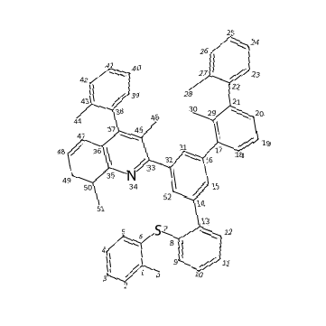 Cc1ccccc1Sc1ccccc1-c1cc(-c2cccc(-c3ccccc3C)c2C)cc(-c2nc3c(c(-c4ccccc4C)c2C)C=CCC3C)c1